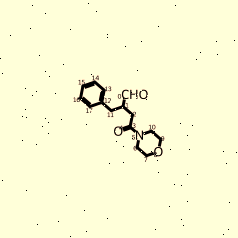 O=CC(CC(=O)N1CCOCC1)Cc1ccccc1